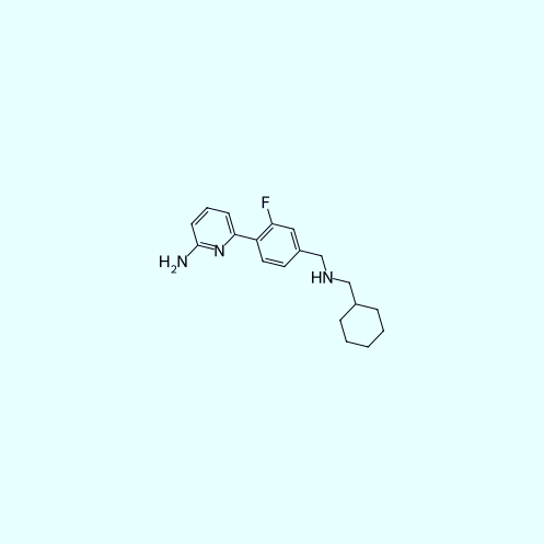 Nc1cccc(-c2ccc(CNCC3CCCCC3)cc2F)n1